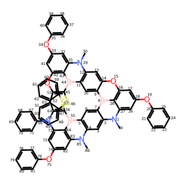 CN1c2cc3c(cc2B2c4cc5c(cc4Oc4cc(Oc6ccccc6)cc1c42)N(C)c1cc(Oc2ccccc2)cc2c1B5c1sc4ccccc4c1O2)B1c2sc4ccccc4c2N(c2ccccc2)c2cc(Oc4ccccc4)cc(c21)N3C